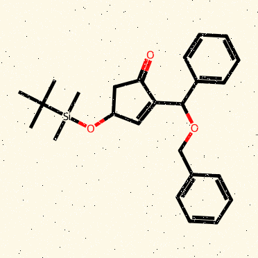 CC(C)(C)[Si](C)(C)OC1C=C(C(OCc2ccccc2)c2ccccc2)C(=O)C1